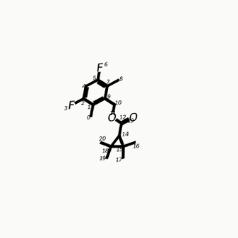 Cc1c(F)cc(F)c(C)c1COC(=O)C1C(C)(C)C1(C)C